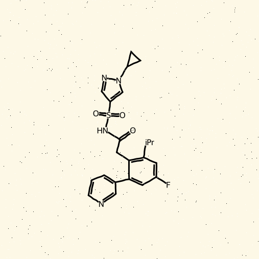 CC(C)c1cc(F)cc(-c2cccnc2)c1CC(=O)NS(=O)(=O)c1cnn(C2CC2)c1